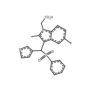 Cc1c(C(c2ccsc2)S(=O)(=O)c2ccccc2)c2cc(F)ccc2n1CC(=O)O